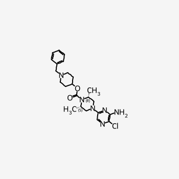 C[C@@H]1CN(c2cnc(Cl)c(N)n2)C[C@H](C)N1C(=O)OC1CCN(Cc2ccccc2)CC1